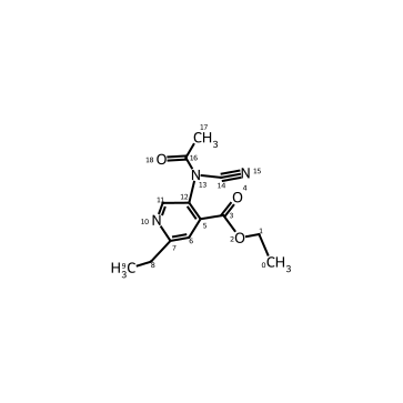 CCOC(=O)c1cc(CC)ncc1N(C#N)C(C)=O